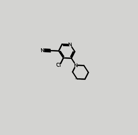 N#Cc1cncc(N2C[CH]CCC2)c1Cl